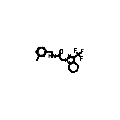 Cc1cccc(CNC(=O)Cn2nc(C(F)(F)F)c3c2CCCC3)c1